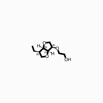 CC[C@@H]1CO[C@H]2[C@@H]1OC[C@H]2OCCO